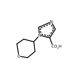 O=C(O)c1cncn1C1CCOCC1